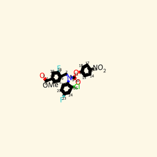 COC(=O)c1ccc(CN(C(=O)Oc2ccc([N+](=O)[O-])cc2)c2ccc(F)cc2Cl)c(F)c1